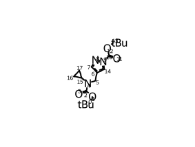 CC(C)(C)OC(=O)N(Cc1cnn(C(=O)OC(C)(C)C)c1)C1CC1